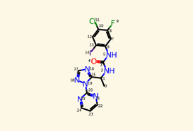 CC(NC(=O)Nc1cc(F)c(Cl)cc1I)c1ncnn1-c1ncccn1